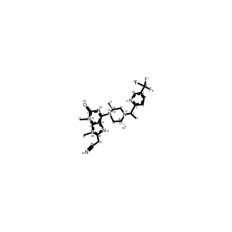 CC(c1ccc(C(F)(F)F)cn1)N1C[C@H](C)N(c2nc(=O)n(C)c3c2nc(CC#N)n3C)C[C@H]1C